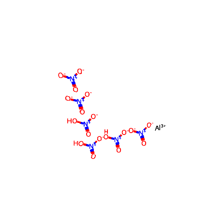 O=[N+]([O-])O.O=[N+]([O-])O.O=[N+]([O-])O.O=[N+]([O-])[O-].O=[N+]([O-])[O-].O=[N+]([O-])[O-].[Al+3]